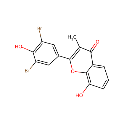 Cc1c(-c2cc(Br)c(O)c(Br)c2)oc2c(O)cccc2c1=O